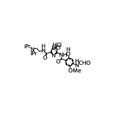 COc1cc(C(=O)Nc2nc(C(=O)NCCN(C(C)C)C(C)C)cs2)c(O)cc1NC=O.Cl.Cl